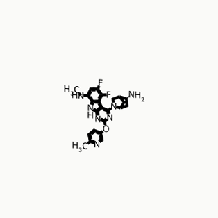 CNc1cc(F)c(F)c2c1[nH]c1nc(Oc3ccc(C)nc3)nc(N3CC4CC3C[C@H]4N)c12